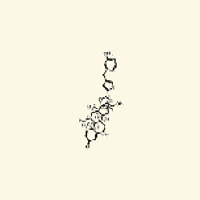 C[C@]12C=CC(=O)C=C1[C@@H](F)C[C@H]1[C@@H]3C[C@H]4O[C@@H](c5cc(Cc6ccnc(N)c6)cs5)O[C@@]4(C(=O)CO)[C@@]3(C)C[C@H](O)[C@@]12F